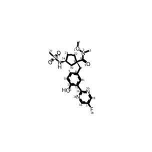 CON(C)C(=O)[C@@]1(Cc2ccc(O)c(-c3ncc(F)cn3)c2)CC[C@H](NS(C)(=O)=O)C1